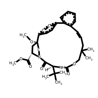 COC(=O)[C@@H]1C[C@]2(OC)CN1C(=O)[C@H](C(C)(C)C)NC(=O)OCC(C)(C)CC=Cc1ccccc1-c1ccc2cc1